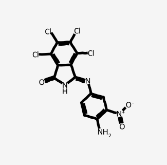 Nc1ccc(N=C2NC(=O)c3c(Cl)c(Cl)c(Cl)c(Cl)c32)cc1[N+](=O)[O-]